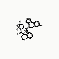 O=C(NCc1cc(F)ccc1-n1cnnn1)[C@@H]1C[C@@H]2C[C@@H]2N1C(=O)C1(O)CCOc2ccccc21